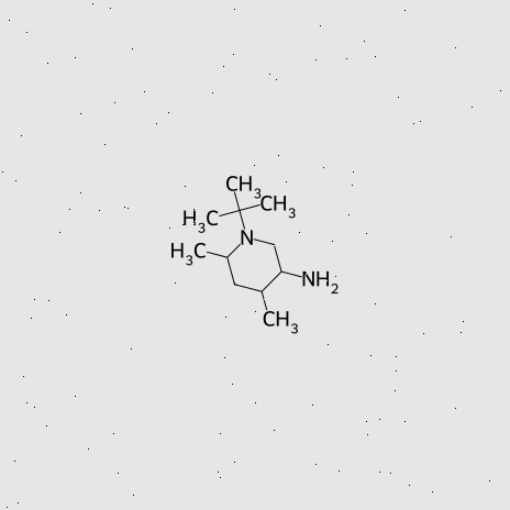 CC1CC(C)N(C(C)(C)C)CC1N